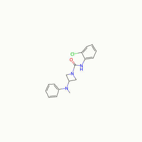 CN(c1ccccc1)C1CN(C(=O)Nc2ccccc2Cl)C1